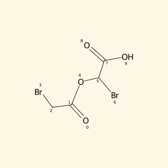 O=C(CBr)OC(Br)C(=O)O